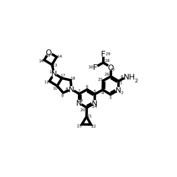 Nc1ncc(-c2cc(N3CC4CN(C5COC5)C4C3)nc(C3CC3)n2)cc1OC(F)F